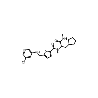 CNC(=O)C(CC1CCCC1)NC(=O)c1ccc(CNc2cncc(Cl)c2)s1